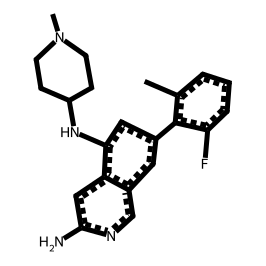 Cc1cccc(F)c1-c1cc(NC2CCN(C)CC2)c2cc(N)ncc2c1